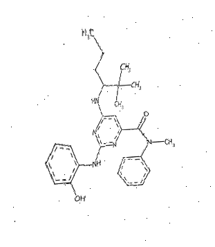 CCCC(Nc1cc(C(=O)N(C)c2ccccc2)nc(Nc2ccccc2O)n1)C(C)(C)C